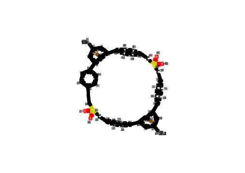 CC(C)(C)c1cc2c(Br)c(c1)-c1ccc(cc1)CS(=O)(=O)Cc1ccc(cc1)-c1cc(C(C)(C)C)cc(c1Br)-c1ccc(cc1)CS(=O)(=O)Cc1ccc-2cc1